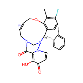 Cc1ccccc1[C@H]1c2ccc(F)c(C)c2OC/C=C\CN2CN1n1ccc(=O)c(O)c1C2=O